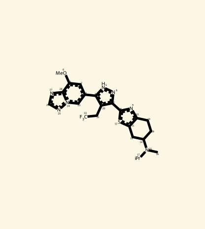 COc1cc(-c2[nH]nc(-c3nc4c(s3)CC(N(C)C(C)C)CC4)c2CC(F)(F)F)cn2ncnc12